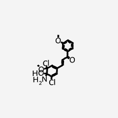 COc1cccc(C(=O)C=CC2=CC(Cl)(OC)C(N)(O)C(Cl)=C2)c1